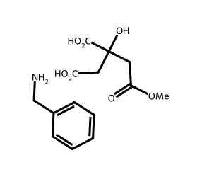 COC(=O)CC(O)(CC(=O)O)C(=O)O.NCc1ccccc1